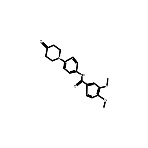 COc1ccc(C(=O)Nc2ccc(N3CCC(=O)CC3)cc2)cc1OC